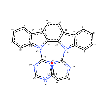 c1cnc(-n2c3ccccc3c3ccc4c5ccccc5n(-c5ncncn5)c4c32)nc1